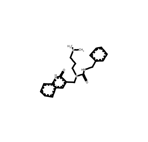 CN(C)CCCN(Cc1cc2ccccc2[nH]c1=O)C(=O)NCc1ccccc1